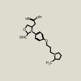 CCCC(=N)CC1COC(C=O)N1c1ccc(OCCCN2CCCC2C)cc1